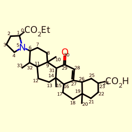 CCOC(=O)C1CCCN1C1CCC2(C)C(CCC3(C)C4CCC5(C)CCC(C(=O)O)CC5C4=CC(=O)C32)C1C